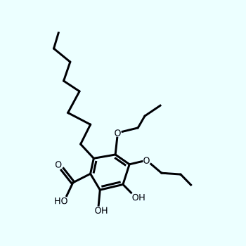 CCCCCCCCc1c(OCCC)c(OCCC)c(O)c(O)c1C(=O)O